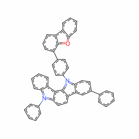 c1ccc(-c2ccc3c(c2)c2ccc4c(c5ccccc5n4-c4ccccc4)c2n3-c2ccc(-c3cccc4c3oc3ccccc34)cc2)cc1